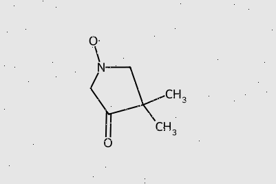 CC1(C)CN([O])CC1=O